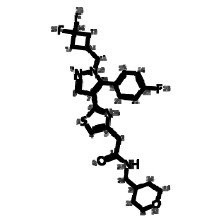 O=C(Cc1csc(-c2cnn(CC3CC(F)(F)C3)c2-c2ccc(F)cc2)n1)NCC1CCOCC1